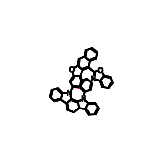 C1=c2c(n(-c3ccc4c(c3)oc3cc5ccccc5c(-c5nc6ccccc6o5)c34)c3ccccc23)=C2C(C1)c1ccccc1N2c1ccccc1